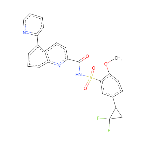 COc1ccc(C2CC2(F)F)cc1S(=O)(=O)NC(=O)c1ccc2c(-c3ccccn3)cccc2n1